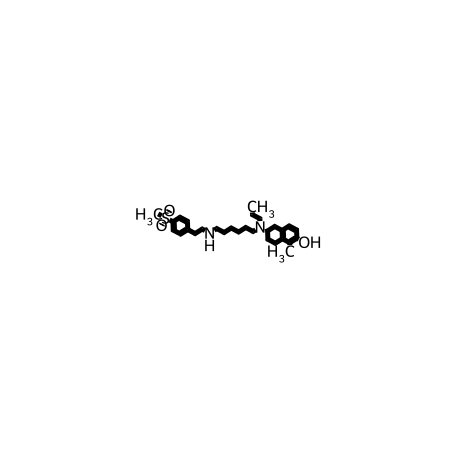 CCCN(CCCCCCNCCc1ccc(S(C)(=O)=O)cc1)[C@H]1CCc2c(ccc(O)c2C)C1